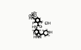 CCCS(=O)(=O)Nc1ccc(F)c(C(=O)Nc2cnc3[nH]nc(C4CCNCC4)c3c2)c1F.Cl